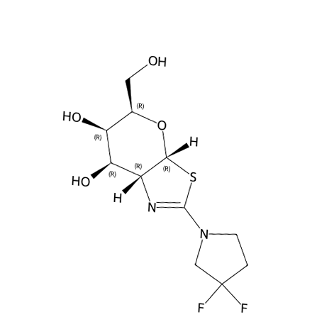 OC[C@H]1O[C@@H]2SC(N3CCC(F)(F)C3)=N[C@@H]2[C@@H](O)[C@H]1O